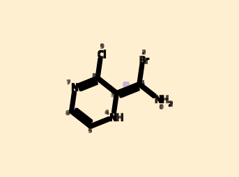 N/C(Br)=C1\NC=CN=C1Cl